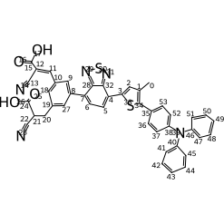 Cc1cc(-c2ccc(-c3cc(/C=C(\C#N)C(=O)O)cc(CC(C#N)C(=O)O)c3)c3nsnc23)sc1-c1ccc(N(c2ccccc2)c2ccccc2)cc1